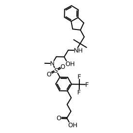 CN(CC(O)CNC(C)(C)CC1Cc2ccccc2C1)S(=O)(=O)c1ccc(CCCC(=O)O)c(C(F)(F)F)c1